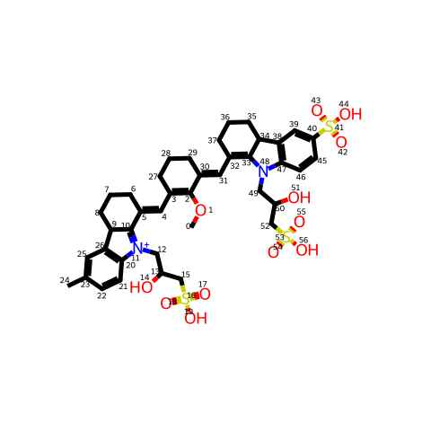 COC1=C(/C=C2\CCCC3C2=[N+](CC(O)CS(=O)(=O)O)c2ccc(C)cc23)CCC/C1=C\C1=C2C(CCC1)c1cc(S(=O)(=O)O)ccc1N2CC(O)CS(=O)(=O)O